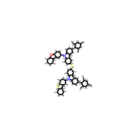 Cc1cc(C)c(-c2ccc3c(c2)c2cc(Sc4ccc5c(c4)c4cc(-c6c(C)cc(C)cc6C)ccc4n5-c4ccc5sc6ccccc6c5c4)ccc2n3-c2ccc3oc4ccccc4c3c2)c(C)c1